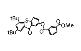 COC(=O)c1cccc(C(=O)Oc2ccc3sc4c(C(C)(C)C)cc(C(C)(C)C)cc4c(=O)c3c2)c1